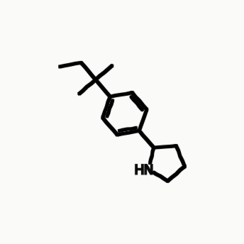 CCC(C)(C)c1ccc(C2CCCN2)cc1